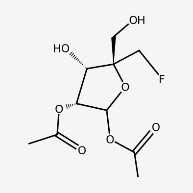 CC(=O)OC1O[C@@](CO)(CF)[C@@H](O)[C@H]1OC(C)=O